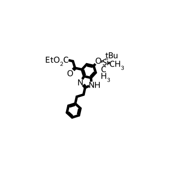 CCOC(=O)CC(=O)c1cc(O[Si](C)(C)C(C)(C)C)cc2[nH]c(CCc3ccccc3)nc12